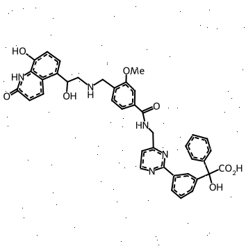 COc1cc(C(=O)NCc2ccnc(-c3cccc(C(O)(C(=O)O)c4ccccc4)c3)n2)ccc1CNCC(O)c1ccc(O)c2[nH]c(=O)ccc12